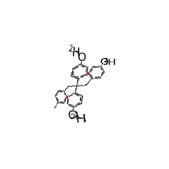 [2H]Oc1ccc(CC(Cc2ccc(C)cc2)(c2ccc(O[2H])cc2)c2ccc(O[2H])cc2)cc1